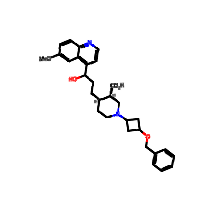 COc1ccc2nccc(C(O)CC[C@@H]3CCN(C4CC(OCc5ccccc5)C4)C[C@@H]3C(=O)O)c2c1